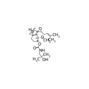 CO[C@@H]1[C@H](OC(=O)NCC(C)(C)O)CCC2(CO2)[C@H]1[C@@]1(C)OC1CC=C(C)C